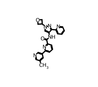 Cc1cncc(-c2cccc(C(=O)Nc3cn(C4COC4)nc3-c3ccccn3)n2)c1